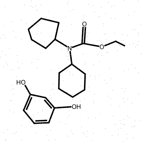 CCOC(=O)N(C1CCCCC1)C1CCCCC1.Oc1cccc(O)c1